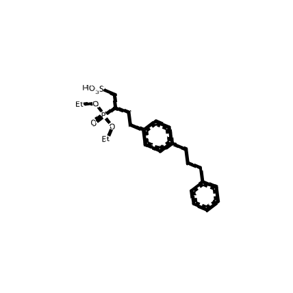 CCOP(=O)(OCC)C(CCc1ccc(CCCc2ccccc2)cc1)CS(=O)(=O)O